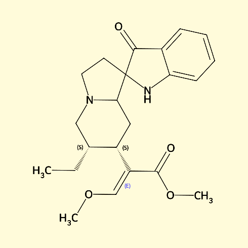 CC[C@@H]1CN2CCC3(Nc4ccccc4C3=O)C2C[C@@H]1/C(=C\OC)C(=O)OC